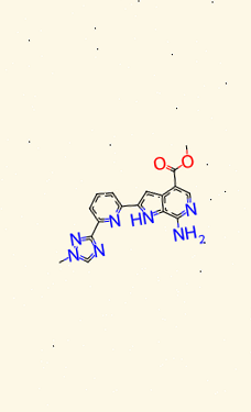 COC(=O)c1cnc(N)c2[nH]c(-c3cccc(-c4ncn(C)n4)n3)cc12